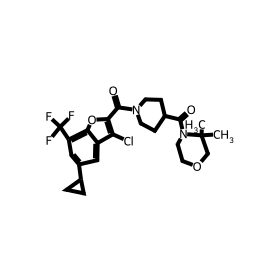 CC1(C)COCCN1C(=O)C1CCN(C(=O)c2oc3c(C(F)(F)F)cc(C4CC4)cc3c2Cl)CC1